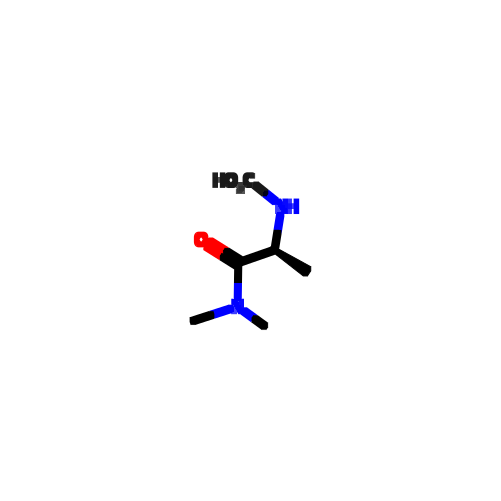 C[C@H](NC(=O)O)C(=O)N(C)C